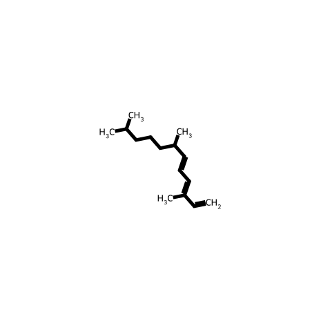 C=CC(C)=CC=CC(C)CCCC(C)C